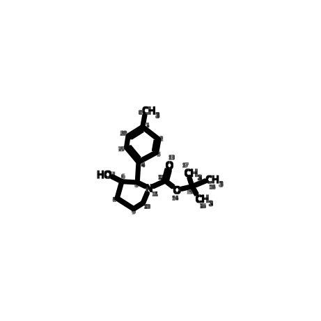 Cc1ccc(C2C(O)CCCN2C(=O)OC(C)(C)C)cc1